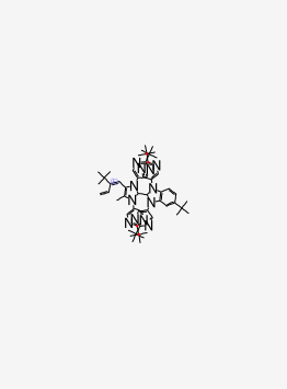 C=C/C(=C\C1=C(C)N(c2cnc(C(C)(C)C)nc2)C(C2N(c3cnc(C(C)(C)C)nc3)c3ccc(C(C)(C)C)cc3N2c2cnc(C(C)(C)C)nc2)N1c1cnc(C(C)(C)C)nc1)C(C)(C)C